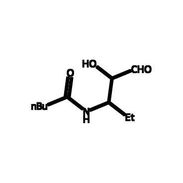 CCCCC(=O)NC(CC)C(O)C=O